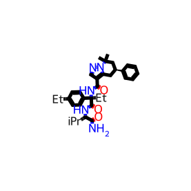 CCc1ccc(C(CC)(NC(=O)c2cnn3c2C[C@H](c2ccccc2)CC3(C)C)C(=O)NC(C(N)=O)C(C)C)cc1